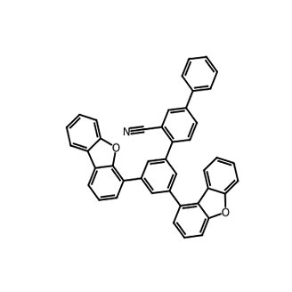 N#Cc1cc(-c2ccccc2)ccc1-c1cc(-c2cccc3c2oc2ccccc23)cc(-c2cccc3oc4ccccc4c23)c1